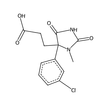 CN1C(=O)NC(=O)C1(CCC(=O)O)c1cccc(Cl)c1